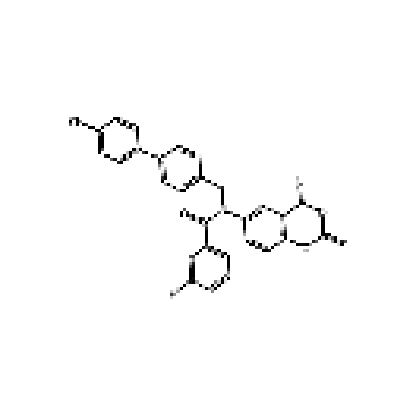 C=C1OC(=O)c2cc(N(Cc3ccc(-c4ccc(Cl)cc4)cc3)C(=O)c3cccc(F)c3)ccc2O1